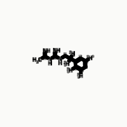 [2H]c1cc([2H])c([2H])c(C([2H])([2H])CNC(=N)NC(C)=N)c1